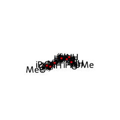 COC(=O)C[C@H](C(=O)N1CCC[C@H]1c1ncc(-c2ccc(-c3ccc(-c4ccc5[nH]c([C@@H]6CCCN6C(=O)[C@@H](NC(=O)OC)C(C)C)nc5c4)c4c3[C@@H]3CC[C@H]4C3)cc2)[nH]1)C(C)C